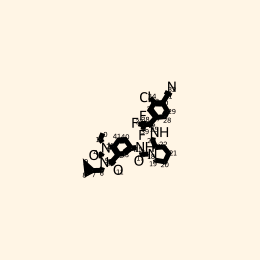 CCn1c(=O)n(CC2CC2)c(=O)c2cc(NC(=O)N3CCCCC3CNC(c3ccc(C#N)c(Cl)c3)C(F)(F)F)ccc21